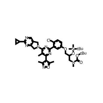 Cc1noc(C)c1-c1nc(-c2cc(OCC(CN(C)C(=O)OC(C)(C)C)O[Si](C)(C)C(C)(C)C)ccc2Cl)nc(N2Cc3cnc(C4CC4)nc3C2)c1C